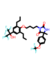 CCCc1cc(C(O)(C(F)(F)F)C(F)(F)F)cc(CCC)c1OCCCCN1C(=O)NC(C)(c2ccc(OC(F)(F)F)cc2)C1=O